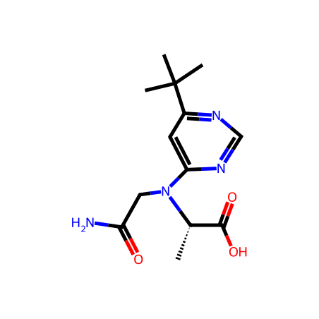 C[C@@H](C(=O)O)N(CC(N)=O)c1cc(C(C)(C)C)ncn1